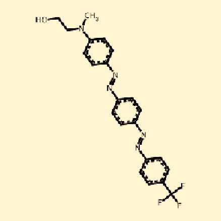 CN(CCO)c1ccc(N=Nc2ccc(N=Nc3ccc(C(F)(F)F)cc3)cc2)cc1